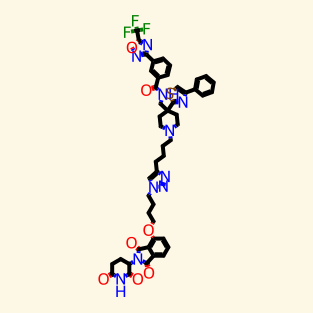 O=C1CCC(N2C(=O)c3cccc(OCCCCn4cc(CCCCN5CCC(CNC(=O)c6cccc(-c7noc(C(F)(F)F)n7)c6)(c6nc(-c7ccccc7)cs6)CC5)nn4)c3C2=O)C(=O)N1